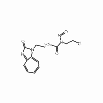 O=NN(CCCl)C(=O)NCCn1c2cccccc-2nc1=O